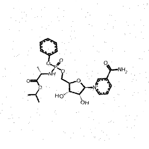 CC(C)OC(=O)[C@H](C)NP(=O)(OCC1O[C@@H]([n+]2cccc(C(N)=O)c2)[C@H](O)[C@@H]1O)Oc1ccccc1